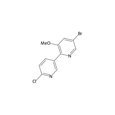 COc1cc(Br)cnc1-c1ccc(Cl)nc1